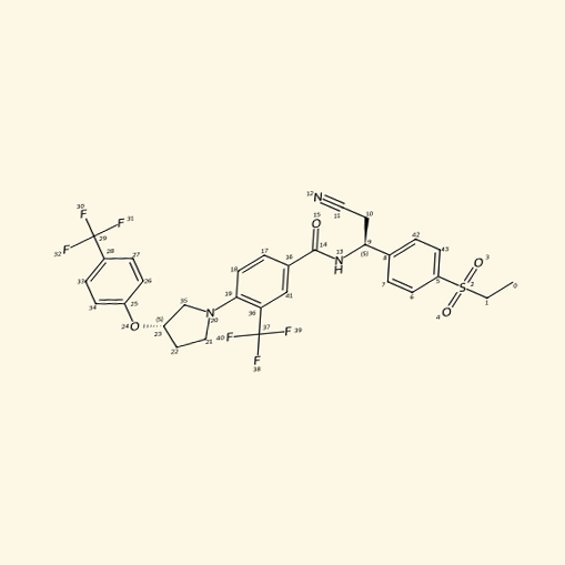 CCS(=O)(=O)c1ccc([C@H](CC#N)NC(=O)c2ccc(N3CC[C@H](Oc4ccc(C(F)(F)F)cc4)C3)c(C(F)(F)F)c2)cc1